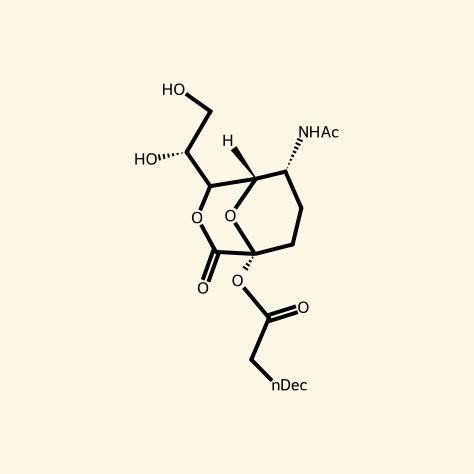 CCCCCCCCCCCC(=O)O[C@@]12CC[C@@H](NC(C)=O)[C@H](O1)C([C@H](O)CO)OC2=O